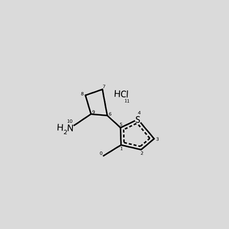 Cc1ccsc1C1CCC1N.Cl